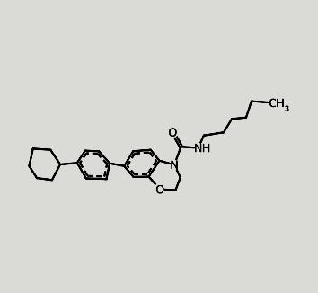 CCCCCCNC(=O)N1CCOc2cc(-c3ccc(C4CCCCC4)cc3)ccc21